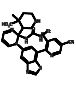 CCNC(=O)NC1(C2CNCCC2(C)C(=O)O)N=CC=CN1c1cc(-c2ncc(C#N)cc2F)c2scnc2c1